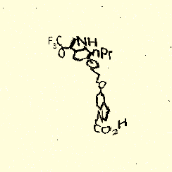 CCCc1c(OCCCOc2ccc3c(ccn3CC(=O)O)c2)ccc2c(C(=O)C(F)(F)F)c[nH]c12